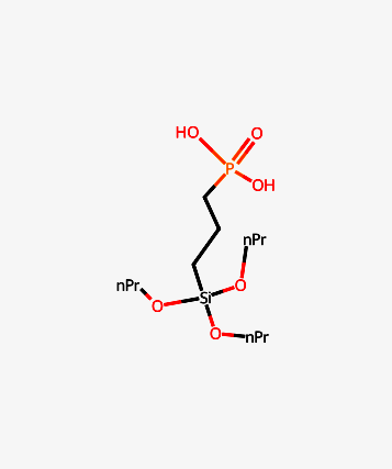 CCCO[Si](CCCP(=O)(O)O)(OCCC)OCCC